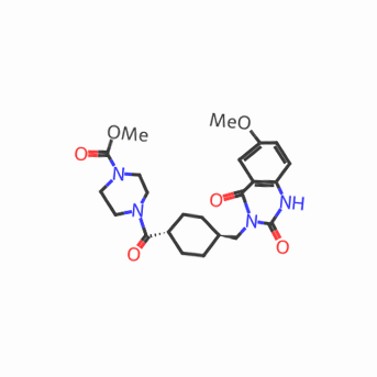 COC(=O)N1CCN(C(=O)[C@H]2CC[C@H](Cn3c(=O)[nH]c4ccc(OC)cc4c3=O)CC2)CC1